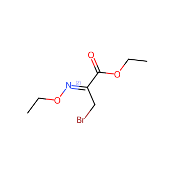 CCO/N=C(\CBr)C(=O)OCC